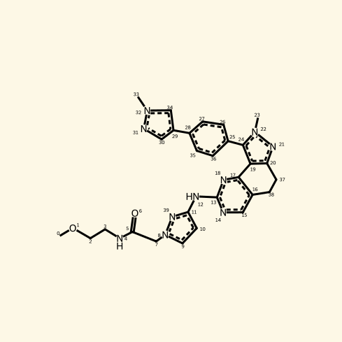 COCCNC(=O)Cn1ccc(Nc2ncc3c(n2)-c2c(nn(C)c2-c2ccc(-c4cnn(C)c4)cc2)CC3)n1